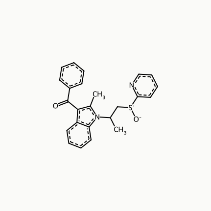 Cc1c(C(=O)c2ccccc2)c2ccccc2n1C(C)C[S+]([O-])c1ccccn1